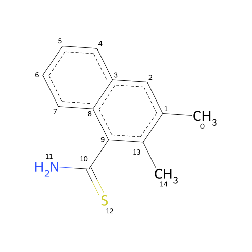 Cc1cc2ccccc2c(C(N)=S)c1C